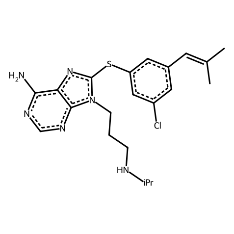 CC(C)=Cc1cc(Cl)cc(Sc2nc3c(N)ncnc3n2CCCNC(C)C)c1